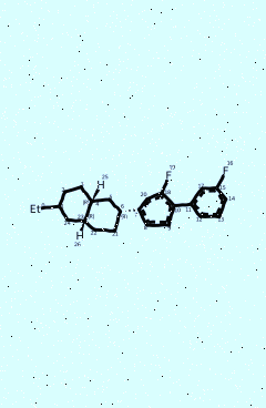 CCC1CC[C@@H]2C[C@H](c3ccc(-c4cccc(F)c4)c(F)c3)CC[C@@H]2C1